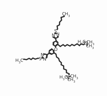 CCCCCCCCSc1ncc(-c2ccc(Oc3ccc(-c4cnc(SCCCCCCCC)nc4)cc3CCCCCCCCCCC[Si](C)(C)C)c(CCCCCCCCCCC[Si](C)(C)C)c2)cn1